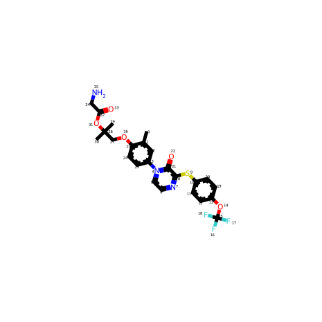 Cc1cc(-n2ccnc(Sc3ccc(OC(F)(F)F)cc3)c2=O)ccc1OCC(C)(C)OC(=O)CN